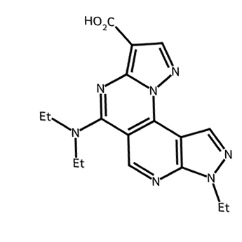 CCN(CC)c1nc2c(C(=O)O)cnn2c2c1cnc1c2cnn1CC